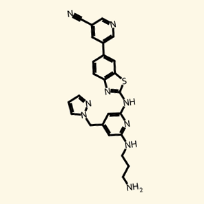 N#Cc1cncc(-c2ccc3nc(Nc4cc(Cn5cccn5)cc(NCCCN)n4)sc3c2)c1